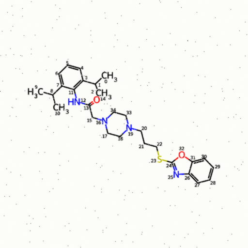 CC(C)c1cccc(C(C)C)c1NC(=O)CN1CCN(CCCSc2nc3ccccc3o2)CC1